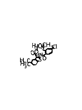 CN(C)Cc1cc(Cl)ccc1C(=O)Nc1sc2c(c1C(=O)O)CC(C)(C)CC2